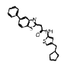 O=C(Cc1nc2cc(-c3ccccc3)ccc2s1)Nc1cc(CC2CCCC2)cs1